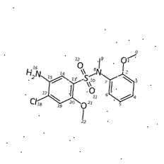 COc1ccccc1N(C)S(=O)(=O)c1cc(N)c(Cl)cc1OC